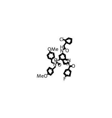 COc1ccc(CN(Cc2ccc(OC)cc2)S(=O)(=O)c2cc(NC(=O)Cc3ccccc3Cl)cc3nn(C(=O)c4ccc(F)cc4)cc23)cc1